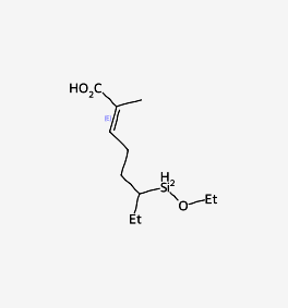 CCO[SiH2]C(CC)CC/C=C(\C)C(=O)O